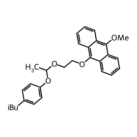 CCC(C)c1ccc(OC(C)OCCOc2c3ccccc3c(OC)c3ccccc23)cc1